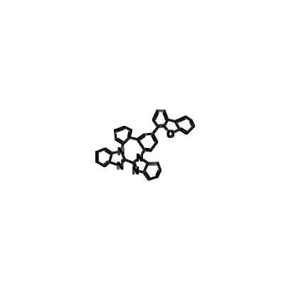 c1ccc2c(c1)nc1c3nc4ccccc4n3c3ccc(-c4cccc5c4oc4ccccc45)cc3c3ccccc3n21